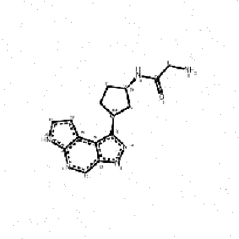 NCC(=O)N[C@@H]1CC[C@H](c2n[nH]c3cnc4[nH]ccc4c23)C1